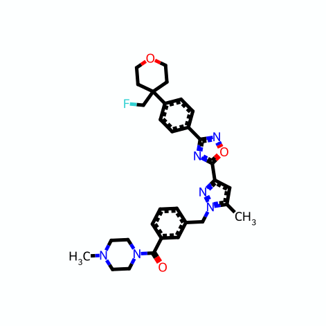 Cc1cc(-c2nc(-c3ccc(C4(CF)CCOCC4)cc3)no2)nn1Cc1cccc(C(=O)N2CCN(C)CC2)c1